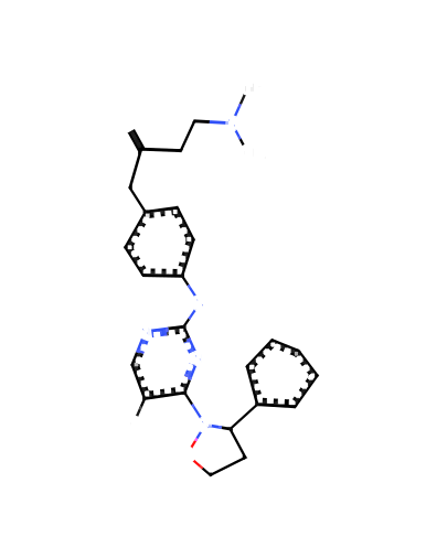 C=C(CCN(C)CCC)Cc1ccc(Nc2ncc(C(F)(F)F)c(N3OCCC3c3ccccc3)n2)cc1